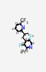 CC(C)c1ncc(F)c(CC(C)c2cccc(C(F)(F)F)n2)c1F